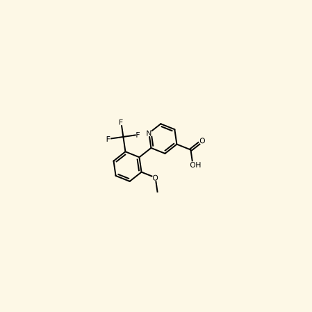 COc1cccc(C(F)(F)F)c1-c1cc(C(=O)O)ccn1